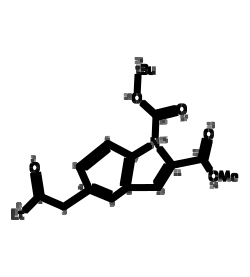 CCC(=O)Cc1ccc2c(c1)cc(C(=O)OC)n2C(=O)OC(C)(C)C